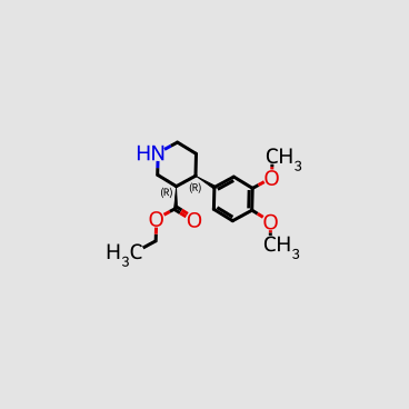 CCOC(=O)[C@H]1CNCC[C@H]1c1ccc(OC)c(OC)c1